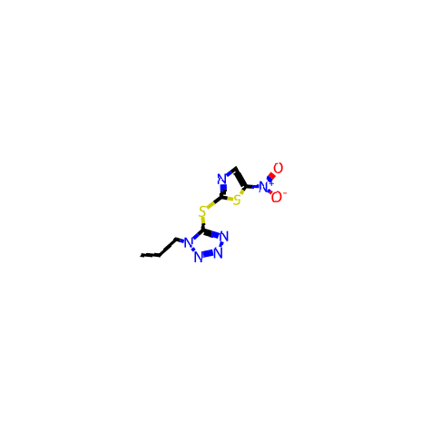 CCCn1nnnc1Sc1ncc([N+](=O)[O-])s1